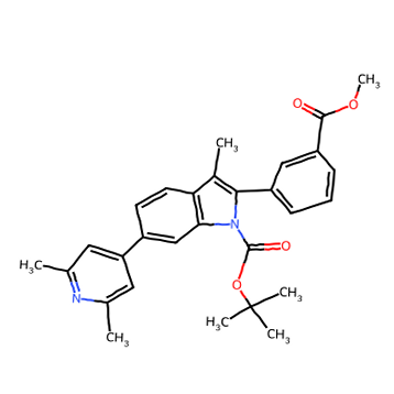 COC(=O)c1cccc(-c2c(C)c3ccc(-c4cc(C)nc(C)c4)cc3n2C(=O)OC(C)(C)C)c1